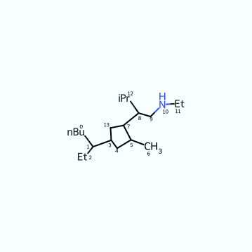 CCCCC(CC)C1CC(C)C(C(CNCC)C(C)C)C1